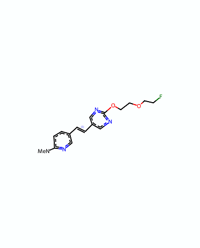 CNc1ccc(/C=C/c2cnc(OCCOCCF)nc2)cn1